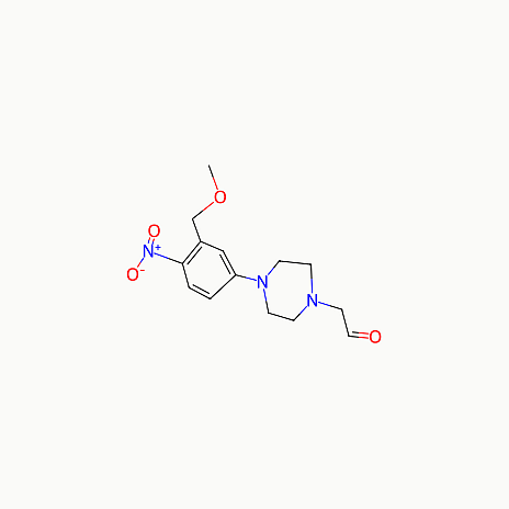 COCc1cc(N2CCN(CC=O)CC2)ccc1[N+](=O)[O-]